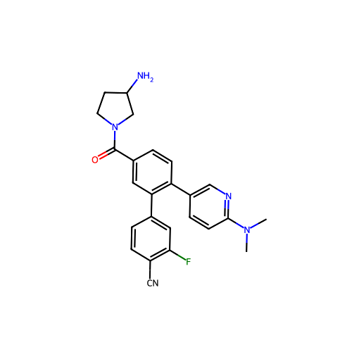 CN(C)c1ccc(-c2ccc(C(=O)N3CCC(N)C3)cc2-c2ccc(C#N)c(F)c2)cn1